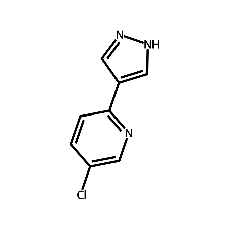 Clc1ccc(-c2cn[nH]c2)nc1